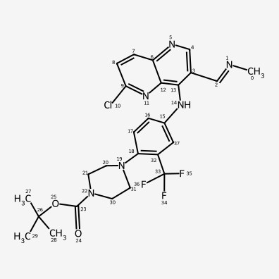 C/N=C/c1cnc2ccc(Cl)nc2c1Nc1ccc(N2CCN(C(=O)OC(C)(C)C)CC2)c(C(F)(F)F)c1